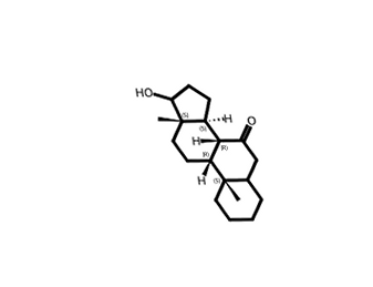 C[C@]12CCCCC1CC(=O)[C@@H]1[C@H]2CC[C@]2(C)C(O)CC[C@@H]12